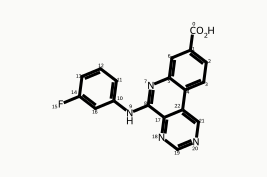 O=C(O)c1ccc2c(c1)nc(Nc1cccc(F)c1)c1ncncc12